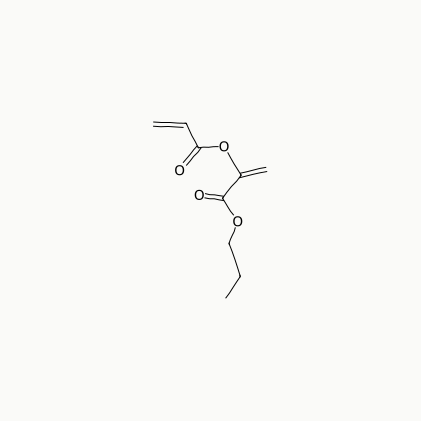 C=CC(=O)OC(=C)C(=O)OCCC